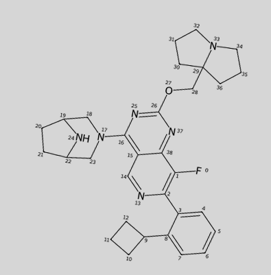 Fc1c(-c2ccccc2C2CCC2)ncc2c(N3CC4CCC(C3)N4)nc(OCC34CCCN3CCC4)nc12